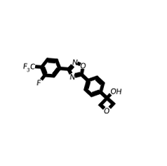 OC1(c2ccc(-c3nc(-c4ccc(C(F)(F)F)c(F)c4)no3)cc2)COC1